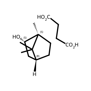 CC1(C)[C@@H]2CC[C@]1(C)[C@@H](O)C2.O=C(O)CCC(=O)O